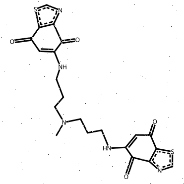 CN(CCCNC1=CC(=O)c2scnc2C1=O)CCCNC1=CC(=O)c2scnc2C1=O